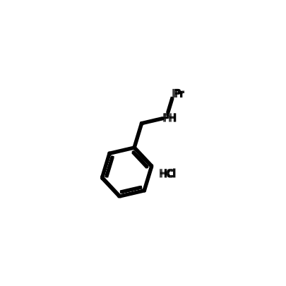 CC(C)PCc1ccccc1.Cl